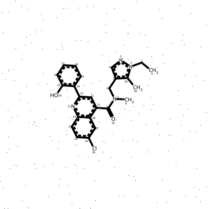 CCn1ncc(CN(C)C(=O)c2cc(-c3ccccc3O)nc3ccc(Cl)cc23)c1C